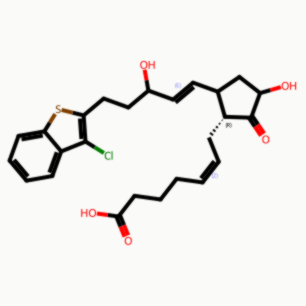 O=C(O)CCC/C=C\C[C@H]1C(=O)C(O)CC1/C=C/C(O)CCc1sc2ccccc2c1Cl